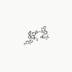 Nc1c(C(=O)c2ccc(F)cc2F)ccc(=O)n1-c1c(F)cc(OCCCNc2c(CCC(=O)O)cccc2C2CCCC2)cc1F